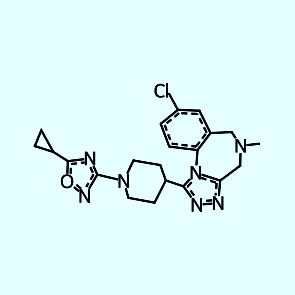 CN1Cc2cc(Cl)ccc2-n2c(nnc2C2CCN(c3noc(C4CC4)n3)CC2)C1